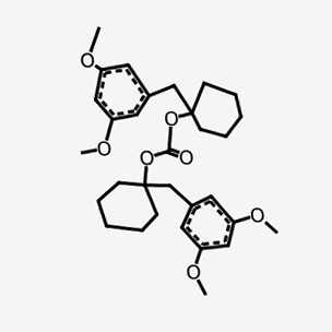 COc1cc(CC2(OC(=O)OC3(Cc4cc(OC)cc(OC)c4)CCCCC3)CCCCC2)cc(OC)c1